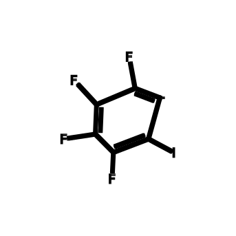 Fc1[c]c(I)c(F)c(F)c1F